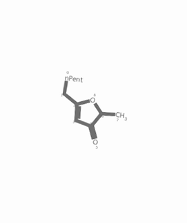 CCCCCCC1=CC(=O)C(C)O1